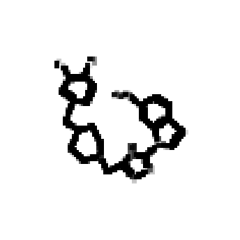 COc1ccc2ccn(-c3nnc(CN4CCC(Cc5ccc(Cl)c(Cl)c5)CC4)[nH]3)c2c1